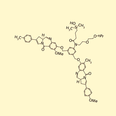 CCCOCCOCCN(C(=O)CCC[Si](C)(C)O)c1cc(COc2cc3c(cc2C)C(=O)N2C=C(c4ccc(OC)cc4)C[C@H]2C=N3)cc(COc2cc3c(cc2OC)C(=O)N2C=C(c4ccc(C)cc4)C[C@H]2C=N3)c1